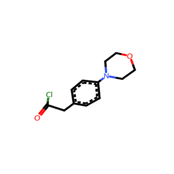 O=C(Cl)Cc1ccc(N2CCOCC2)cc1